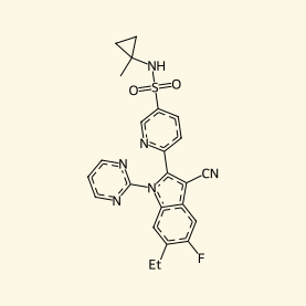 CCc1cc2c(cc1F)c(C#N)c(-c1ccc(S(=O)(=O)NC3(C)CC3)cn1)n2-c1ncccn1